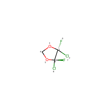 F[C@@]1(Cl)OCO[C@@]1(F)Cl